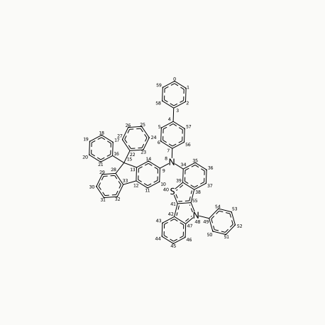 c1ccc(-c2ccc(N(c3ccc4c(c3)C(c3ccccc3)(c3ccccc3)c3ccccc3-4)c3cccc4c3sc3c5ccccc5n(-c5ccccc5)c43)cc2)cc1